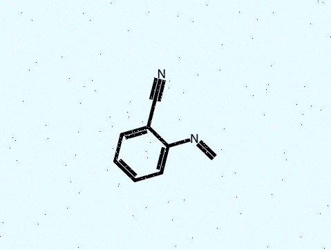 C=Nc1ccccc1C#N